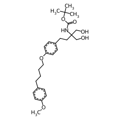 COc1ccc(CCCCOc2ccc(CCC(CO)(CO)NC(=O)OC(C)(C)C)cc2)cc1